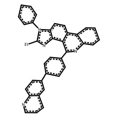 CCc1nc2c3c(-c4ccc(-c5ccc6ncccc6c5)cc4)nc4ccccc4c3ccc2n1-c1ccccc1